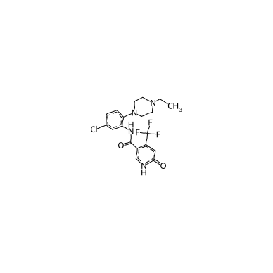 CCN1CCN(c2ccc(Cl)cc2NC(=O)c2c[nH]c(=O)cc2C(F)(F)F)CC1